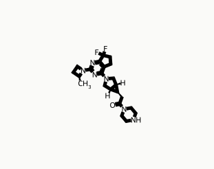 C[C@H]1CCN1c1nc(N2C[C@@H]3[C@@H](CC(=O)N4CCNCC4)[C@@H]3C2)c2c(n1)C(F)(F)CC2